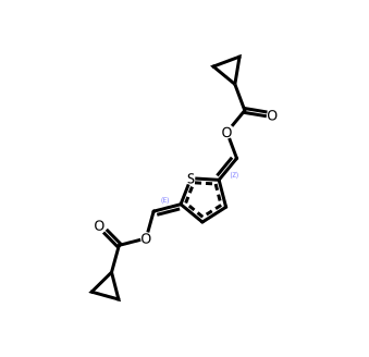 O=C(O/C=c1/cc/c(=C\OC(=O)C2CC2)s1)C1CC1